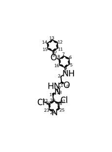 O=C(CNc1cccc(Oc2ccccc2)c1)N/N=C/c1c(Cl)cncc1Cl